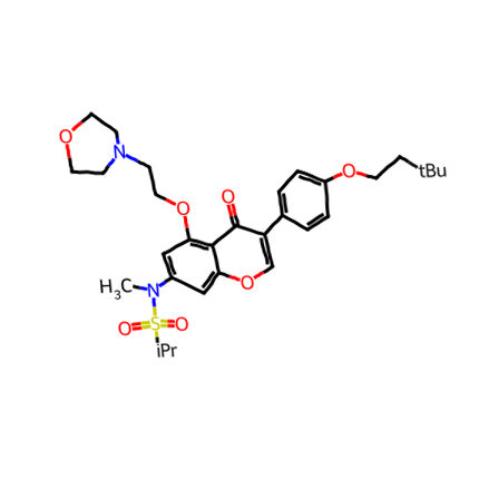 CC(C)S(=O)(=O)N(C)c1cc(OCCN2CCOCC2)c2c(=O)c(-c3ccc(OCCC(C)(C)C)cc3)coc2c1